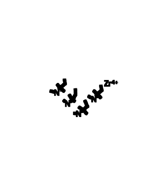 CCC(C)(C)[N-]C.CCC(C)(C)[N-]C.CCC(C)(C)[N-]C.CCC(C)(C)[N-]C.[Zr+4]